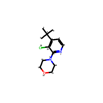 CC(C)(C)c1ccnc(N2CCOCC2)c1Cl